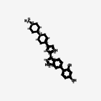 CCc1cc(O)ccc1-c1ccc2c(-c3nc(C4=CCN(C5CCN(C)CC5)CC4)c[nH]3)n[nH]c2c1